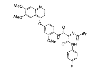 COc1cc(Oc2ccnc3cc(OC)c(OC)cc23)ccc1NC(=O)/C(=N/NC(C)C)C(=O)Nc1ccc(F)cc1